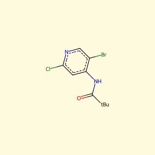 CC(C)(C)C(=O)Nc1cc(Cl)ncc1Br